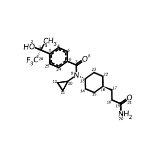 C[C@](O)(c1ccc(C(=O)N(C2CC2)[C@H]2CC[C@H](CCC(N)=O)CC2)cc1)C(F)(F)F